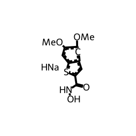 COc1cc2cc(C(=O)NO)sc2cc1OC.[NaH]